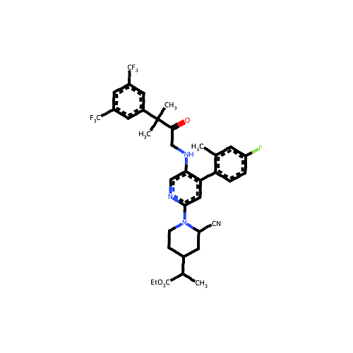 CCOC(=O)C(C)C1CCN(c2cc(-c3ccc(F)cc3C)c(NCC(=O)C(C)(C)c3cc(C(F)(F)F)cc(C(F)(F)F)c3)cn2)C(C#N)C1